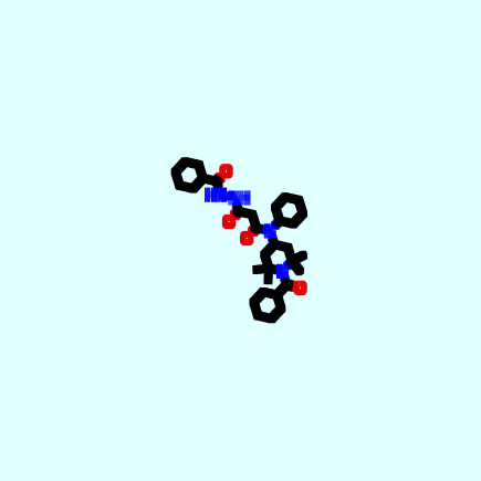 CC1(C)CC(N(C(=O)CC(=O)NNC(=O)C2CCCCC2)C2CCCCC2)CC(C)(C)N1C(=O)C1CCCCC1